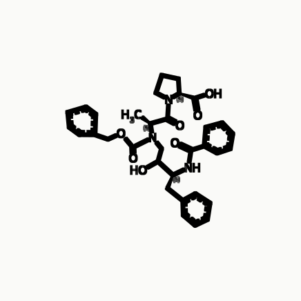 C[C@@H](C(=O)N1CCC[C@H]1C(=O)O)N(CC(O)[C@H](Cc1ccccc1)NC(=O)c1ccccc1)C(=O)OCc1ccccc1